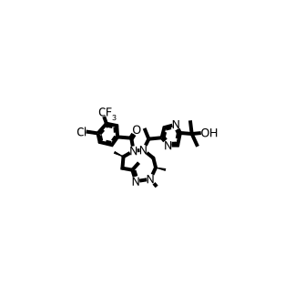 C/C1=N\N(C)[C@H](C)CN(C(C)c2cnc(C(C)(C)O)cn2)N(C(=O)c2ccc(Cl)c(C(F)(F)F)c2)[C@H](C)C1